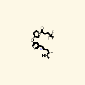 CN[C@@H](C)C/C=C/c1cncc(O[C@H]2CCN(C(=O)CCC(F)(F)F)C2)c1